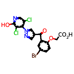 O=C(O)COc1ccc(Br)cc1C(=O)c1cnn(-c2c(Cl)cnc(O)c2Cl)c1